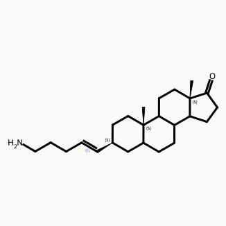 C[C@]12CC[C@H](/C=C/CCCN)CC1CCC1C2CC[C@]2(C)C(=O)CCC12